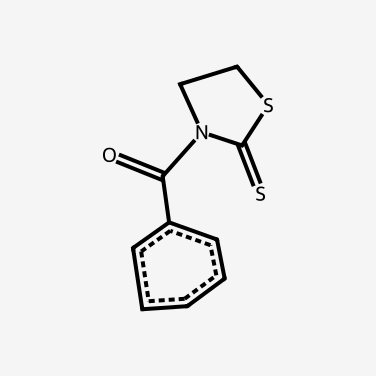 O=C(c1ccccc1)N1CCSC1=S